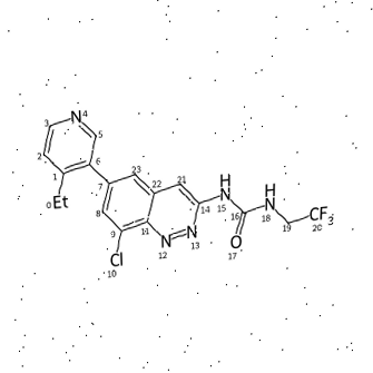 CCc1ccncc1-c1cc(Cl)c2nnc(NC(=O)NCC(F)(F)F)cc2c1